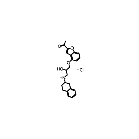 CC(=O)c1cc2c(OCC(O)CNC3CCc4ccccc4C3)cccc2o1.Cl